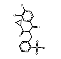 NS(=O)(=O)c1ccccc1CC(C(=O)c1ccc(F)c(Cl)c1)C(=O)C1CC1